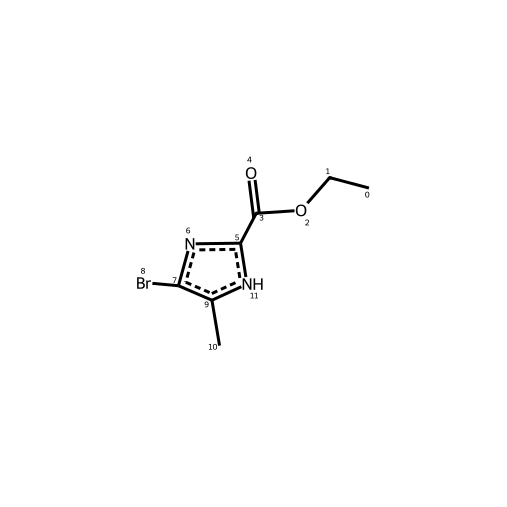 CCOC(=O)c1nc(Br)c(C)[nH]1